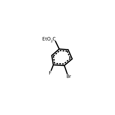 CCOC(=O)c1ccc(Br)c(F)c1